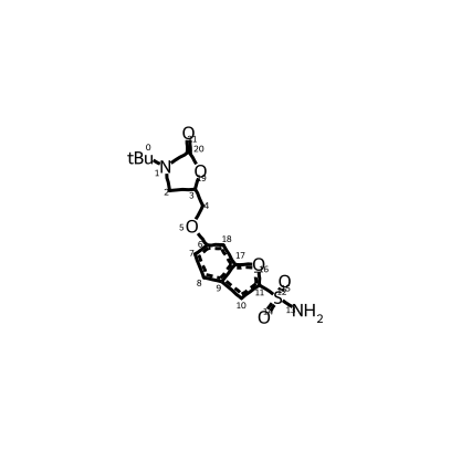 CC(C)(C)N1CC(COc2ccc3cc(S(N)(=O)=O)oc3c2)OC1=O